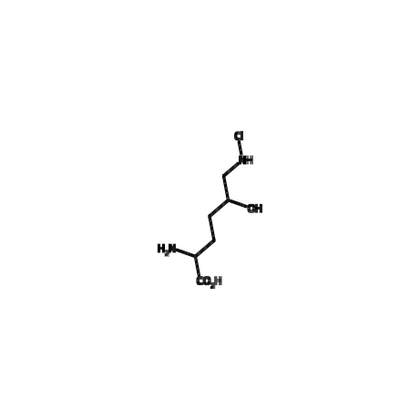 NC(CCC(O)CNCl)C(=O)O